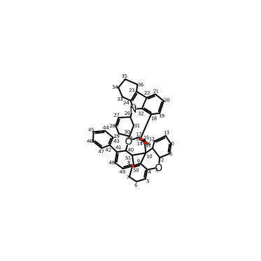 C1=CC2OC3=CCCC=C3C3(C2C=C1)C1C=CC(c2cccc4c5c(n(C6C=CCCC6)c24)CCCC5)=CC1OC1C(c2ccccc2)=CC=CC13